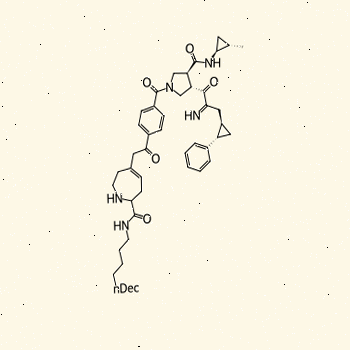 CCCCCCCCCCCCCCNC(=O)C1CC=C(CC(=O)c2ccc(C(=O)N3C[C@@H](C(=O)N[C@H]4C[C@@H]4C)[C@H](C(=O)C(=N)C[C@H]4C[C@@H]4c4ccccc4)C3)cc2)CCN1